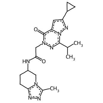 Cc1nnc2n1CC(NC(=O)Cn1nc(C(C)C)n3nc(C4CC4)cc3c1=O)CC2